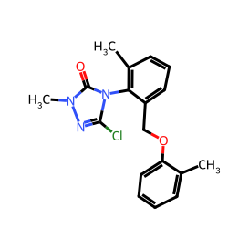 Cc1ccccc1OCc1cccc(C)c1-n1c(Cl)nn(C)c1=O